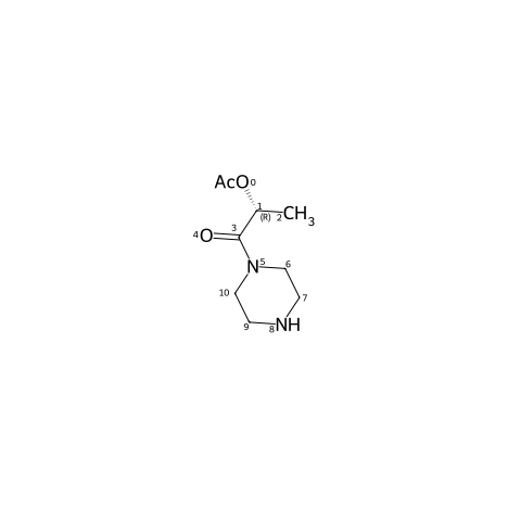 CC(=O)O[C@H](C)C(=O)N1CCNCC1